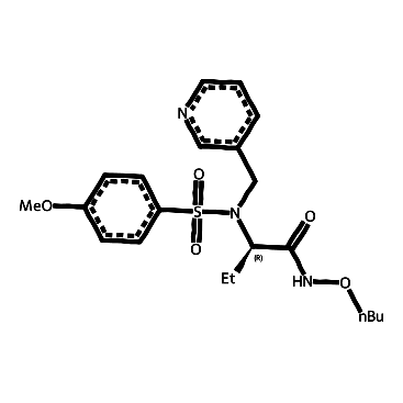 CCCCONC(=O)[C@@H](CC)N(Cc1cccnc1)S(=O)(=O)c1ccc(OC)cc1